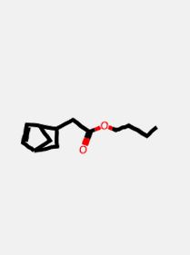 CCCCOC(=O)CC1CC2C=CC1C2